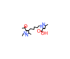 CCn1nc(C)c(CCCCCn2nc(C)cc2C(=O)O)c1C(C)=O